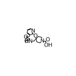 O=C(O)N1CCC2(CC1)CNS(=O)(=O)c1cccnc1O2